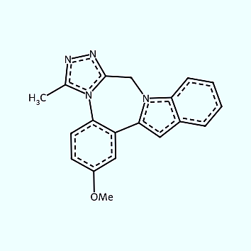 COc1ccc2c(c1)-c1cc3ccccc3n1Cc1nnc(C)n1-2